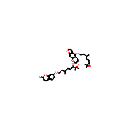 C/C(=C\COc1ccc2ccc(=O)oc2c1)CCC1OC2(C=Cc3c(cc4occc4c3OCCC(C)/C=C/C3OC3(C)C)O2)OC1(C)C